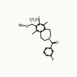 CCOC(=O)[C@@H](OC(C)(C)C)c1c(C)c2c(c(C)c1I)CCN(C(=O)c1cccc(F)c1)CC2